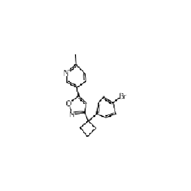 Cc1ccc(-c2cc(C3(c4ccc(Br)cc4)CCC3)no2)cn1